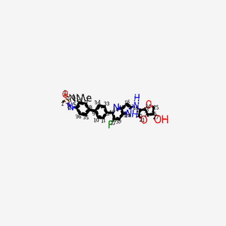 CNS(C)(=O)=Nc1ccc(-c2ccc(-c3nc4cc(N[C@@H]5COC6C5OC[C@H]6O)[nH]c4cc3F)cc2)cc1